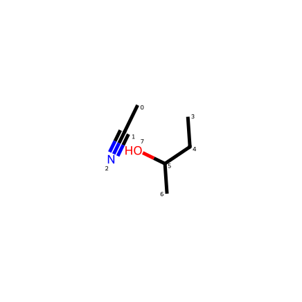 CC#N.CCC(C)O